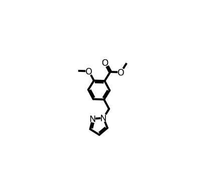 COC(=O)c1cc(Cn2cccn2)ccc1OC